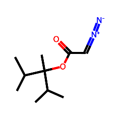 CC(C)C(C)(OC(=O)C=[N+]=[N-])C(C)C